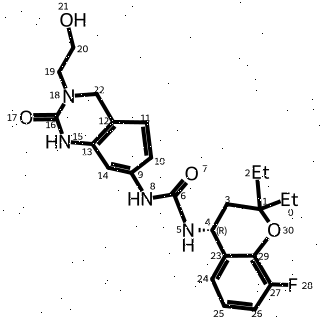 CCC1(CC)C[C@@H](NC(=O)Nc2ccc3c(c2)NC(=O)N(CCO)C3)c2cccc(F)c2O1